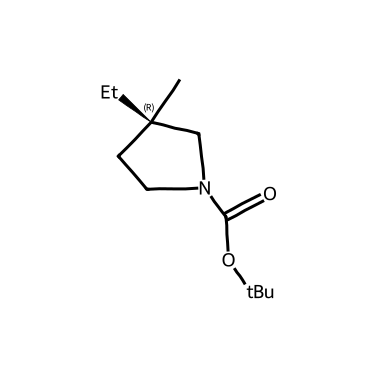 CC[C@]1(C)CCN(C(=O)OC(C)(C)C)C1